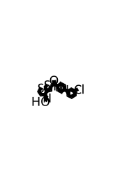 O=C(c1cc2c(s1)SCCC2=NO)N1CCN(c2cccc(Cl)c2)CC1